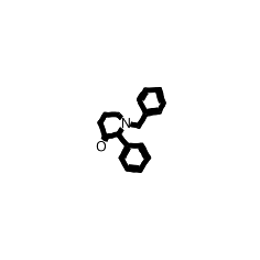 O=C1CCCN(Cc2ccccc2)C1c1ccccc1